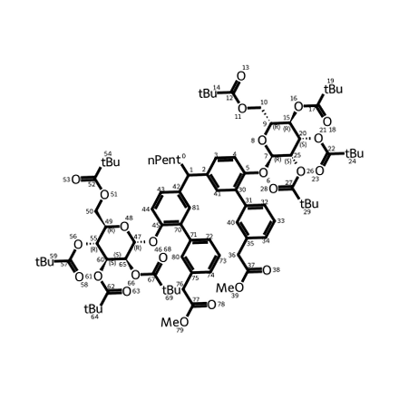 CCCCCC(c1ccc(O[C@H]2O[C@H](COC(=O)C(C)(C)C)[C@@H](OC(=O)C(C)(C)C)[C@H](OC(=O)C(C)(C)C)[C@@H]2OC(=O)C(C)(C)C)c(-c2cccc(CC(=O)OC)c2)c1)c1ccc(O[C@H]2O[C@H](COC(=O)C(C)(C)C)[C@@H](OC(=O)C(C)(C)C)[C@H](OC(=O)C(C)(C)C)[C@@H]2OC(=O)C(C)(C)C)c(-c2cccc(CC(=O)OC)c2)c1